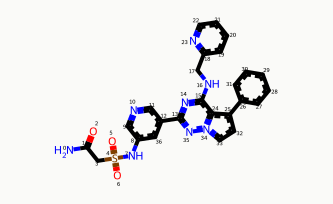 NC(=O)CS(=O)(=O)Nc1cncc(-c2nc(NCc3ccccn3)c3c(-c4ccccc4)ccn3n2)c1